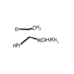 CCC.CCCCN(C)O